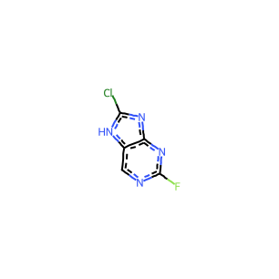 Fc1ncc2[nH]c(Cl)nc2n1